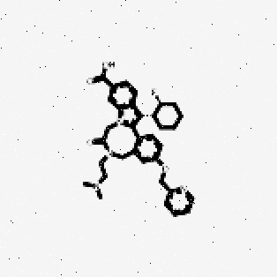 CN(C)CCN1Cc2cc(OCc3ccccn3)ccc2-c2c([C@H]3CCCC[C@@H]3F)c3ccc(C(=O)O)cc3n2CC1=O